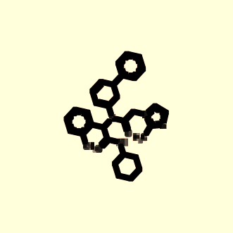 Cc1ccccc1C(C(=O)NC1CCCCC1)N(C(=O)Cn1ccnc1C)C1=CC=CC(c2ccccc2)C1